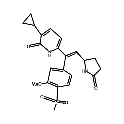 COc1cc(/C(=C\[C@H]2CCC(=O)N2)c2ccc(C3CC3)c(=O)[nH]2)ccc1S(C)(=O)=O